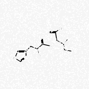 CC[C@H](C)[C@H](NC(=O)[C@@H](N)Cc1c[nH]cn1)C(N)=O